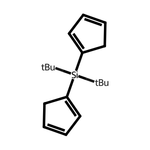 CC(C)(C)[Si](C1=CC=CC1)(C1=CC=CC1)C(C)(C)C